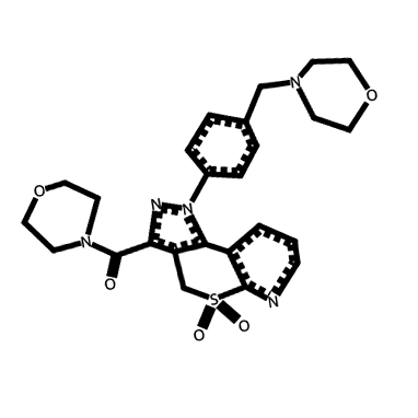 O=C(c1nn(-c2ccc(CN3CCOCC3)cc2)c2c1CS(=O)(=O)c1ncccc1-2)N1CCOCC1